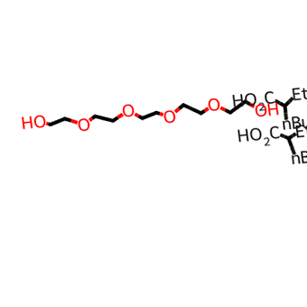 CCCCC(CC)C(=O)O.CCCCC(CC)C(=O)O.OCCOCCOCCOCCOCCO